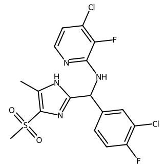 Cc1[nH]c(C(Nc2nccc(Cl)c2F)c2ccc(F)c(Cl)c2)nc1S(C)(=O)=O